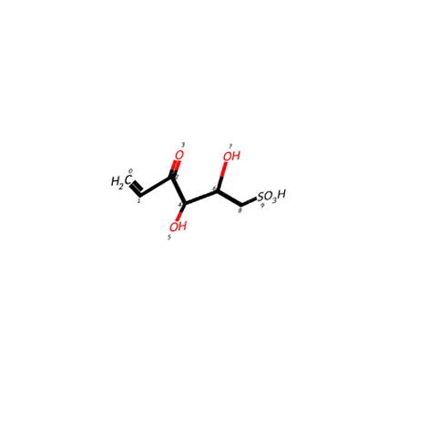 C=CC(=O)C(O)C(O)CS(=O)(=O)O